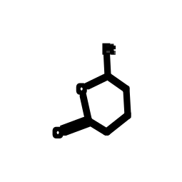 CCC1CCCC(=O)O1